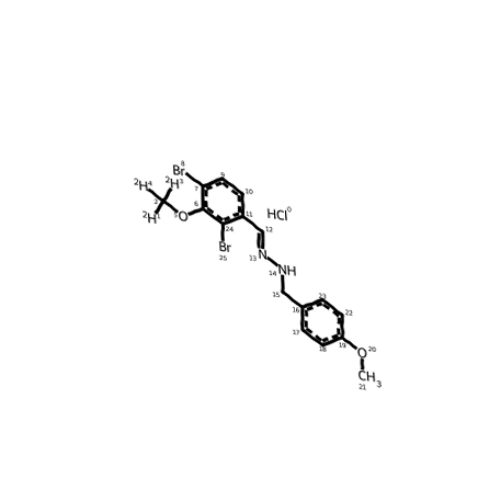 Cl.[2H]C([2H])([2H])Oc1c(Br)ccc(/C=N/NCc2ccc(OC)cc2)c1Br